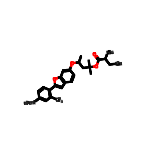 CCCCCc1ccc(-c2cc3ccc(OC(C)CC(C)(C)OC(=O)C(CC(C)(C)C)C(C)(C)C)cc3o2)c(C(F)(F)F)c1